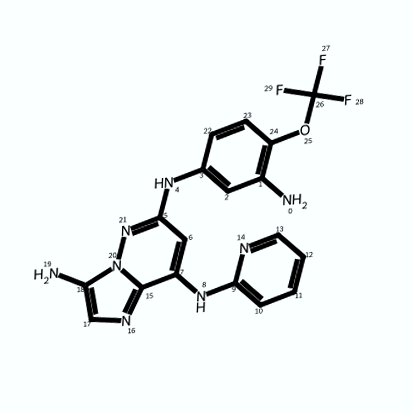 Nc1cc(Nc2cc(Nc3ccccn3)c3ncc(N)n3n2)ccc1OC(F)(F)F